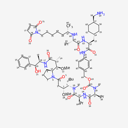 CC[C@H](C)[C@@H]([C@@H](CC(=O)N1CCC[C@H]1[C@H](OC)[C@@H](C)C(=O)N[C@H](C)[C@@H](O)c1ccccc1)OC)N(C)C(=O)[C@@H](NC(=O)[C@H](C(C)C)N(C)C(=O)OCc1ccc(NC(=O)[C@H](C[C@H]2CC[C@H](CN)CC2)NC(=O)[C@@H](N[C@H](CCCCCN2C(=O)C=CC2=O)C(F)(F)F)C(C)C)cc1)C(C)C